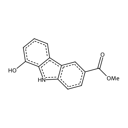 COC(=O)c1ccc2[nH]c3c(O)cccc3c2c1